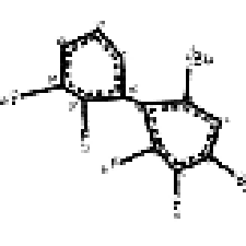 CC(C)(C)c1cc(Br)c(F)c(F)c1-c1cccc(F)c1F